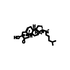 CC(C)CCC[C@@H](C)[C@H]1CC[C@H]2[C@@H]3CC=C4C[C@H](O)C(=O)C[C@]4(C)[C@H]3CC[C@]12C